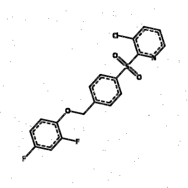 O=S(=O)(c1ccc(COc2ccc(F)cc2F)cc1)c1ncccc1Cl